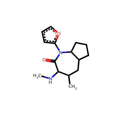 CNC1C(=O)N(c2ccco2)C2CCCC2CC1C